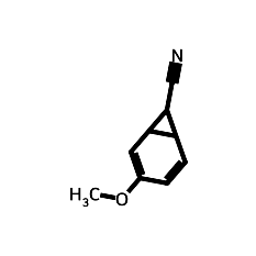 COC1=CC2C(C#N)C2C=C1